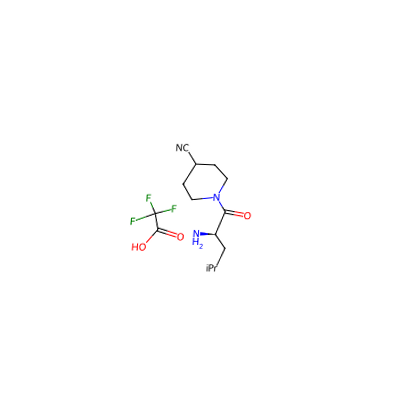 CC(C)C[C@@H](N)C(=O)N1CCC(C#N)CC1.O=C(O)C(F)(F)F